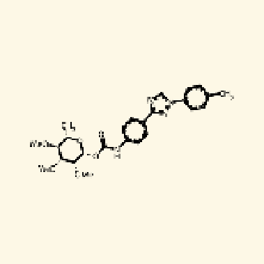 CO[C@@H]1[C@@H](OC)[C@H](C)O[C@H](OC(=O)Nc2ccc(-c3ncn(-c4ccc(C)cc4)n3)cc2)[C@@H]1OC